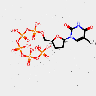 Cc1cn([C@H]2CC[C@@H](COP(=O)(O)OP(=O)(O)OP(=O)(O)OP(=O)(O)OP(=O)(O)O)O2)c(=O)[nH]c1=O